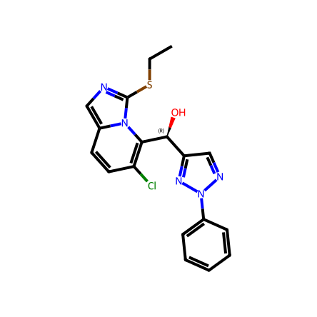 CCSc1ncc2ccc(Cl)c([C@@H](O)c3cnn(-c4ccccc4)n3)n12